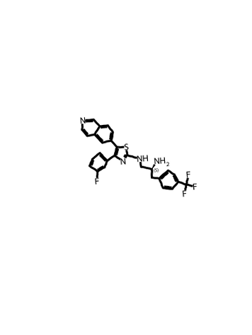 N[C@H](CNc1nc(-c2cccc(F)c2)c(-c2ccc3cnccc3c2)s1)Cc1ccc(C(F)(F)F)cc1